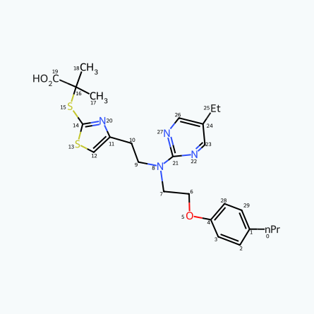 CCCc1ccc(OCCN(CCc2csc(SC(C)(C)C(=O)O)n2)c2ncc(CC)cn2)cc1